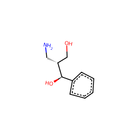 NC[C@H](CO)[C@H](O)c1ccccc1